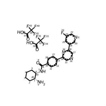 N[C@@H]1CCCC[C@@H]1NC(=O)c1ccc(-c2cncc(-c3cncc(F)c3)n2)cc1.O=C(O)C(F)(F)F.O=C(O)C(F)(F)F